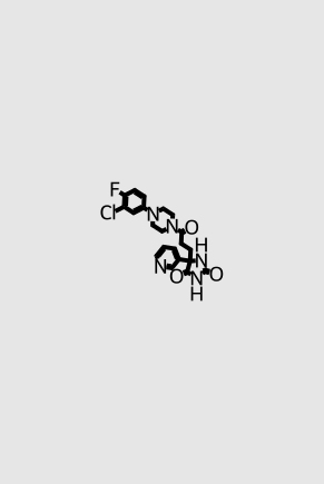 O=C1NC(=O)C(CCC(=O)N2CCN(c3ccc(F)c(Cl)c3)CC2)(c2cccnc2)N1